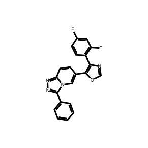 Fc1ccc(-c2ncoc2-c2ccc3nnc(-c4ccccc4)n3c2)c(F)c1